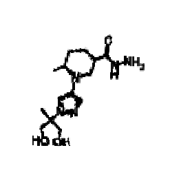 CC1CCC(C(=O)NN)CN1c1cnn(C(C)(CO)CO)c1